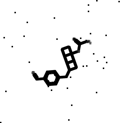 NC(=O)OC12C3C4C1C1C2C3C41Cc1ccc(C=O)cc1